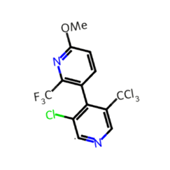 COc1ccc(-c2c(Cl)[c]ncc2C(Cl)(Cl)Cl)c(C(F)(F)F)n1